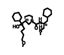 CNC[C@H](CC1CCCCC1)NC(=O)N1CCC[C@@H]([C@](O)(CCCCOC)C2CCCCC2)C1